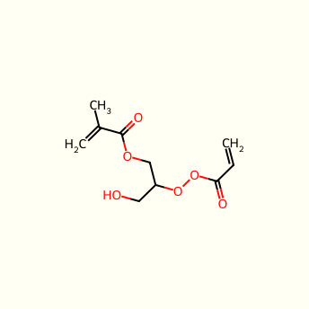 C=CC(=O)OOC(CO)COC(=O)C(=C)C